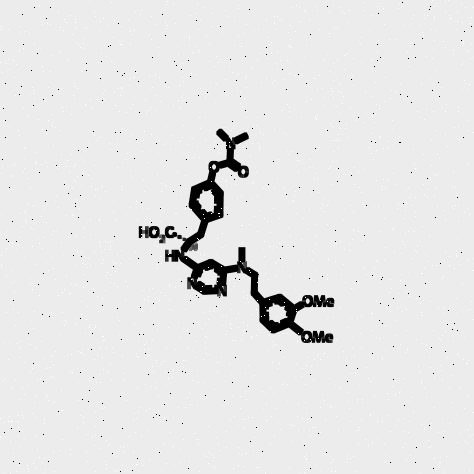 COc1ccc(CCN(C)c2cc(N[C@@H](Cc3ccc(OC(=O)N(C)C)cc3)C(=O)O)ncn2)cc1OC